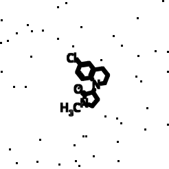 CN1CCC(N2CCCc3cc(Cl)ccc32)C1=O